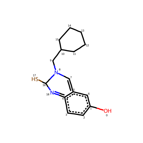 Oc1ccc2c(c1)=CN(CC1CCCCC1)C(S)N=2